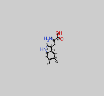 Cc1cc2[nH]cc(C[C@@H](N)C(=O)O)c2cc1C